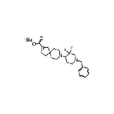 CC(C)(C)OC(=O)N1CCC2(CCN(C3CCN(Cc4ccccc4)CC3(F)F)CC2)C1